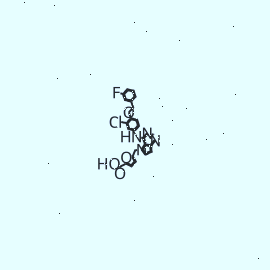 O=C(O)c1ccc(Cn2ccc3ncnc(Nc4ccc(OCc5cccc(F)c5)c(Cl)c4)c32)o1